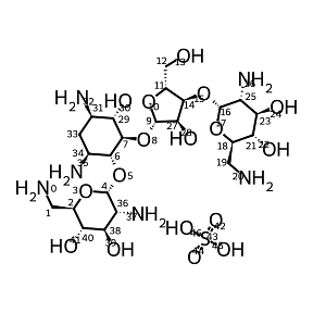 NC[C@H]1O[C@H](O[C@H]2[C@H](O[C@@H]3O[C@H](CO)[C@@H](O[C@H]4O[C@H](CN)[C@@H](O)[C@H](O)[C@H]4N)[C@H]3O)[C@@H](O)[C@H](N)C[C@@H]2N)[C@H](N)[C@@H](O)[C@@H]1O.O=S(=O)(O)O